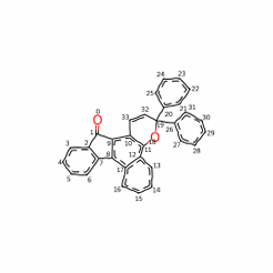 O=C1c2ccccc2-c2c1c1c(c3ccccc23)OC(c2ccccc2)(c2ccccc2)C=C1